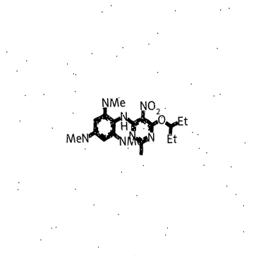 CCC(CC)Oc1nc(C)nc(Nc2c(NC)cc(NC)cc2NC)c1[N+](=O)[O-]